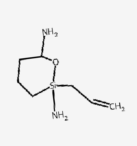 C=CC[Si]1(N)CCCC(N)O1